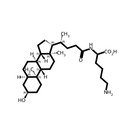 C[C@H](CCC(=O)NC(CCCCN)C(=O)O)[C@H]1CC[C@H]2[C@@H]3CC[C@@H]4C[C@H](O)CC[C@]4(C)[C@H]3CC[C@]12C